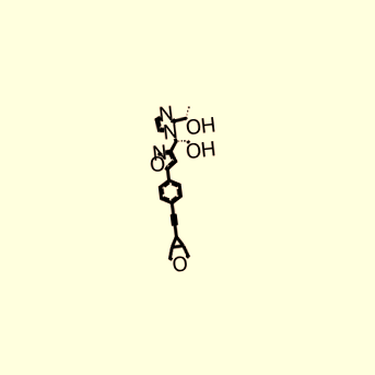 C[C@H](O)c1nccn1[C@H](CO)c1cc(-c2ccc(C#CC3C4COCC34)cc2)on1